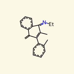 C=C1C(c2ccccc2C)=C(C)/C(=N\CC)c2ccccc21